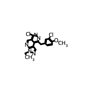 CCn1ncc2c3c(Cc4ccc(OC)c(Cl)c4)nnc(Cl)c3cnc21